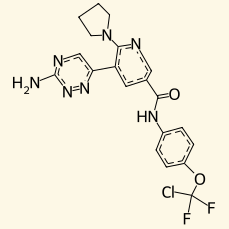 Nc1ncc(-c2cc(C(=O)Nc3ccc(OC(F)(F)Cl)cc3)cnc2N2CCCC2)nn1